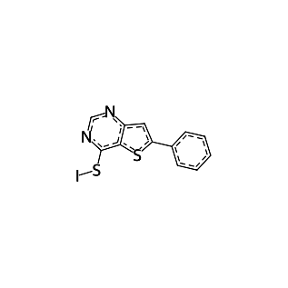 ISc1ncnc2cc(-c3ccccc3)sc12